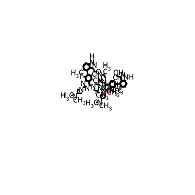 Cc1ccc2[nH]nc(CO)c2c1-c1c(Cl)cc2c(N3C[C@@H](C)N(OCc4n[nH]c5ccc(C)c(-c6c(Cl)cc7c(N8C[C@@H](C)N(C(=O)OC(C)(C)C)C[C@@H]8C)nc(N8CC(N(C)C)C8)nc7c6F)c45)C[C@@H]3C)nc(N3CC(N(C)C)C3)nc2c1F